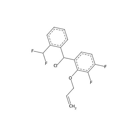 C=CCOc1c(C(Cl)c2ccccc2C(F)F)ccc(F)c1F